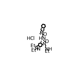 CCNCCN(C(=O)CNCC(=O)N(C)N1Cc2ccccc2C1)c1cc2nn(CC)c(CC)c2cc1C.Cl